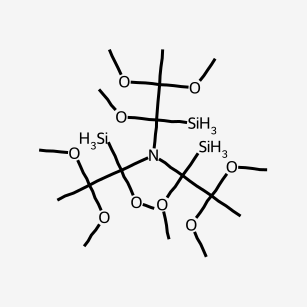 COC(C)(OC)C([SiH3])(OC)N(C([SiH3])(OC)C(C)(OC)OC)C([SiH3])(OC)C(C)(OC)OC